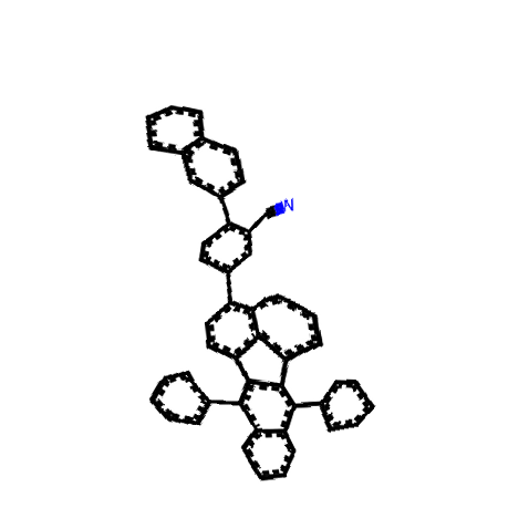 N#Cc1cc(-c2ccc3c4c(cccc24)-c2c-3c(-c3ccccc3)c3ccccc3c2-c2ccccc2)ccc1-c1ccc2ccccc2c1